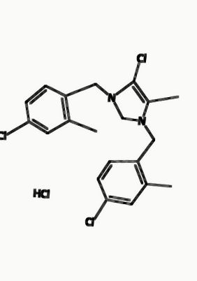 CC1=C(Cl)N(Cc2ccc(Cl)cc2C)CN1Cc1ccc(Cl)cc1C.Cl